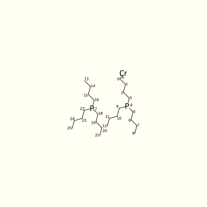 CCCCP(CCCC)CCCC.CCCCP(CCCC)CCCC.[Cr]